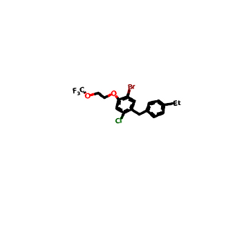 CCc1ccc(Cc2cc(Br)c(OCCOC(F)(F)F)cc2Cl)cc1